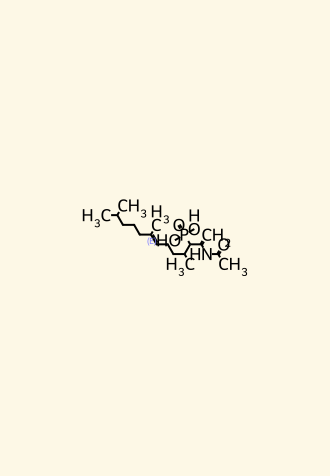 C=C(NC(C)=O)C(C(C)CC/C=C(\C)CCCC(C)C)P(=O)(O)O